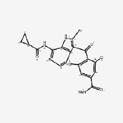 CNC(=O)c1cc(Cl)c(C(=O)c2c(C)[nH]c3c(NC(=O)C4CC4)nccc23)c(Cl)c1